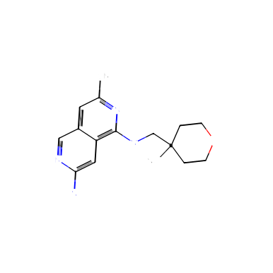 N#Cc1cc2cnc(N)cc2c(NCC2(C#N)CCOCC2)n1